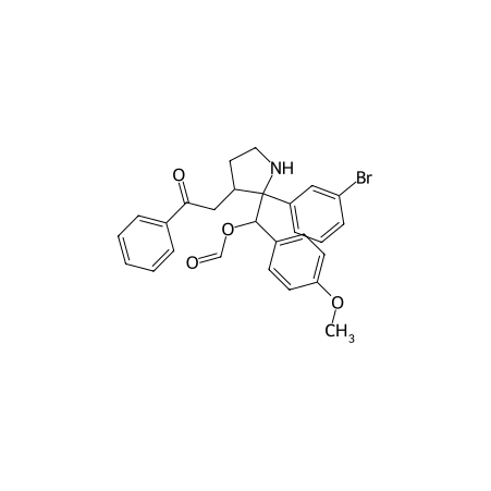 COc1ccc(C(OC=O)C2(c3cccc(Br)c3)NCCC2CC(=O)c2ccccc2)cc1